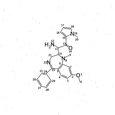 COc1ccc2c(c1)N(C)C(C(N)C(=O)c1cccn1C)CN=C2c1ccccc1